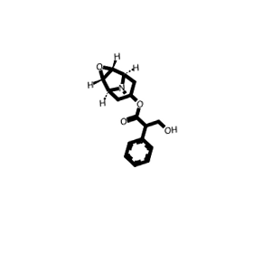 CN1[C@@H]2CC(OC(=O)C(CO)c3ccccc3)C[C@H]1[C@@H]1O[C@@H]12